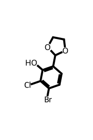 Oc1c(C2OCCO2)ccc(Br)c1Cl